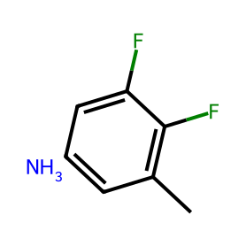 Cc1cccc(F)c1F.N